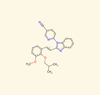 COc1cccc(/C=C/c2nc3ccccc3n2-c2ccc(C#N)cn2)c1OCC(C)C